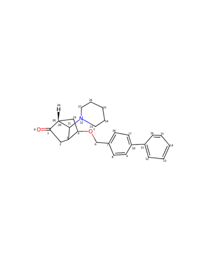 O=C1CC2C(OCc3ccc(-c4ccccc4)cc3)C[C@@H]1C2N1CCCCC1